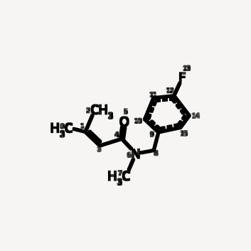 CC(C)=CC(=O)N(C)Cc1ccc(F)cc1